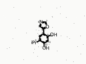 CC(C)c1cc(-c2cnco2)c(O)cc1O